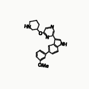 COc1cccc(-c2ccc3[nH]cc(-c4cncc(OC5CCCNC5)n4)c3c2)c1